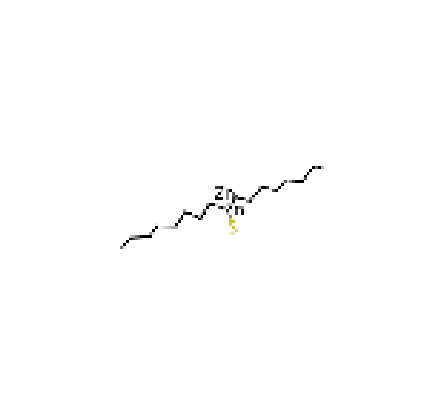 CCCCCCC[CH2][Zn](=[S])[CH2]CCCCCCC.[Zn]